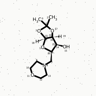 CC1(C)O[C@@H]2O[C@H](CN3CCOCC3)[C@H](O)[C@@H]2O1